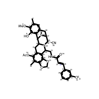 COc1c(C)cc2c(c1O)C1C3Cc4c(OC(C)=O)c(C)c5c(c4C(CNC(=O)/C=C/c4cccc(C(F)(F)F)c4)N3[C@@H](C#N)C(C2)N1C)OCO5